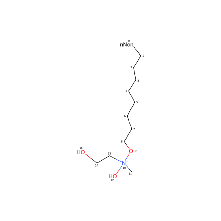 CCCCCCCCCCCCCCCCCO[N+](C)(O)CCO